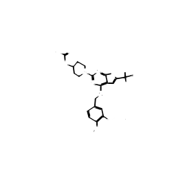 COc1ccc(CNc2nc(N3CCC(OC(=O)O)CC3)nc3sc(C(F)(F)F)cc23)cc1OC